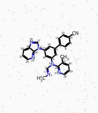 C/N=C/N(c1cc(-c2ccc(C#N)cc2)cc(-n2cnc3cccnc32)c1)c1ncccc1C